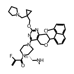 C=C(F)C(=O)N1CCN(c2nc(OCC3(CN4CCCC4)CC3)nc3c2COC(c2cccc4cccc(Cl)c24)C3)C[C@@H]1CNC